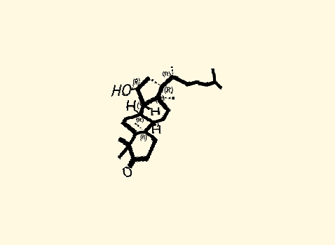 CC(C)CCC[C@@H](C)[C@H]1C[C@@H](O)[C@H]2[C@@H]3CC=C4C(C)(C)C(=O)CC[C@]4(C)[C@H]3CC[C@@]21C